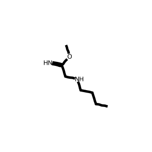 CCCCNCC(=N)OC